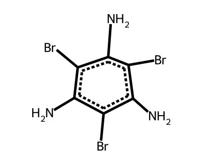 Nc1c(Br)c(N)c(Br)c(N)c1Br